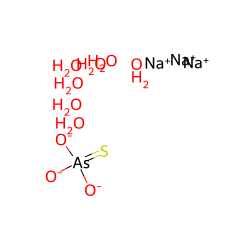 O.O.O.O.O.O.O.[Na+].[Na+].[Na+].[O-][As]([O-])([O-])=S